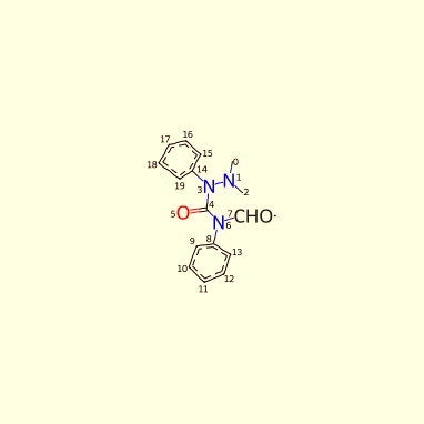 CN(C)N(C(=O)N([C]=O)c1ccccc1)c1ccccc1